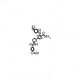 CCOc1ccc(Nc2nc(N3CCC[C@@H](NC(=O)c4ccc(OC)cc4)C3)cnc2C(N)=O)cc1